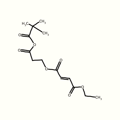 CCOC(=O)C=CC(=O)OCCC(=O)OC(=O)C(C)(C)C